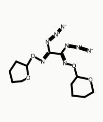 [N-]=[N+]=NC(=NOC1CCCCO1)C(N=[N+]=[N-])=NOC1CCCCO1